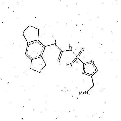 CNCc1coc([S@@](=N)(=O)NC(=O)Nc2c3c(cc4c2CCC4)CCC3)c1